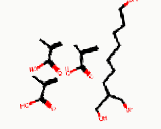 C=C(C)C(=O)O.C=C(C)C(=O)O.C=C(C)C(=O)O.OCCCCCCCC(CO)CO